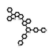 c1ccc(-c2c3ccccc3nc3c2ccc2ccc(-c4ccc(-c5cc(-c6ccc(-c7ccncc7)cc6)nc(-c6ccc(-c7ccncc7)cc6)c5)c5ccccc45)nc23)cc1